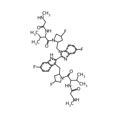 CNCC(=O)NC(C(=O)N1CC(F)CC1Cc1c(-c2nc3cc(F)ccc3n2CC2CC(F)CN2C(=O)C(NC(=O)CNC)C(C)C)[nH]c2cc(F)ccc12)C(C)C